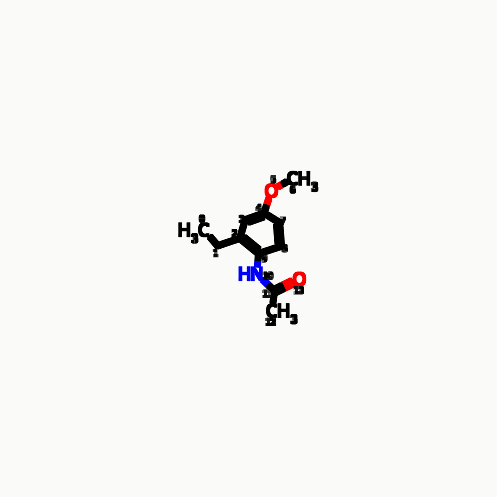 CCc1cc(OC)ccc1NC(C)=O